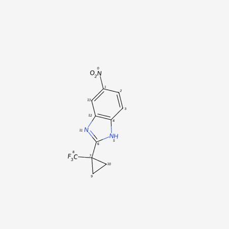 O=[N+]([O-])c1ccc2[nH]c(C3(C(F)(F)F)CC3)nc2c1